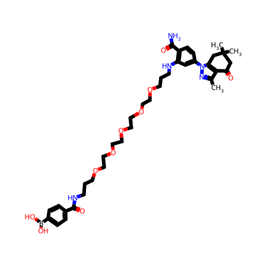 Cc1nn(-c2ccc(C(N)=O)c(NCCCOCCOCCOCCOCCOCCCNC(=O)c3ccc(B(O)O)cc3)c2)c2c1C(=O)CC(C)(C)C2